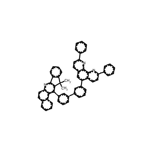 CC1(C)c2ccccc2-c2nc3ccc4ccccc4c3c(-c3cccc(-c4cccc(-c5cc6ccc(-c7ccccc7)nc6c6nc(-c7ccccc7)ccc56)c4)c3)c21